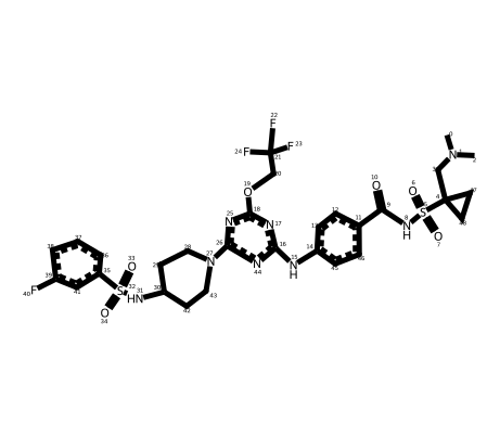 CN(C)CC1(S(=O)(=O)NC(=O)c2ccc(Nc3nc(OCC(F)(F)F)nc(N4CCC(NS(=O)(=O)c5cccc(F)c5)CC4)n3)cc2)CC1